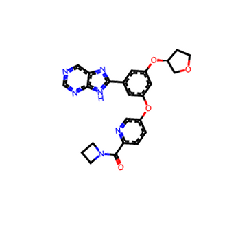 O=C(c1ccc(Oc2cc(O[C@H]3CCOC3)cc(-c3nc4cncnc4[nH]3)c2)cn1)N1CCC1